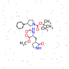 COC(=O)[C@H](C[C@@H]1CCNC1=O)NC(=O)[C@@H]1[C@@H](c2ccccc2)CCN1C(=O)OC(C)(C)C